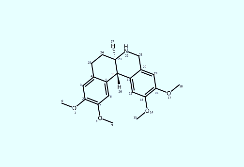 COc1cc2c(cc1OC)[C@H]1c3cc(OC)c(OC)cc3CN[C@@H]1CC2